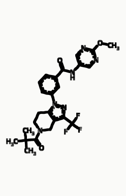 COc1ncc(NC(=O)c2cccc(-n3nc(C(F)(F)F)c4c3CCN(C(=O)C(C)(C)C)C4)c2)cn1